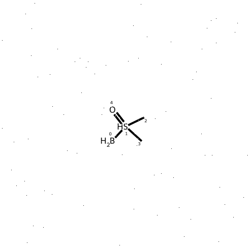 B[SH](C)(C)=O